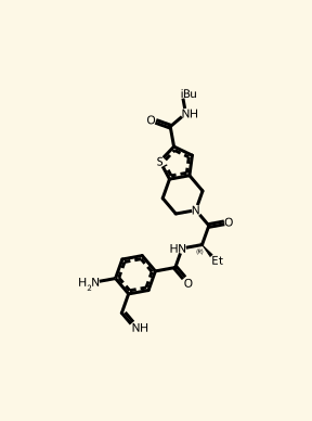 CCC(C)NC(=O)c1cc2c(s1)CCN(C(=O)[C@@H](CC)NC(=O)c1ccc(N)c(C=N)c1)C2